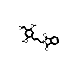 COc1cc(/C=C/CN2C(=O)c3ccccc3C2=O)c(OC)cc1C=O